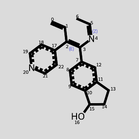 C=C/C(=C(\N=C/C)c1ccc2c(c1)CCC2O)c1ccncc1